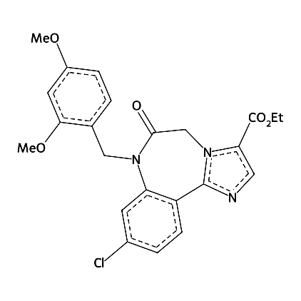 CCOC(=O)c1cnc2n1CC(=O)N(Cc1ccc(OC)cc1OC)c1cc(Cl)ccc1-2